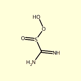 N=C(N)S(=O)OO